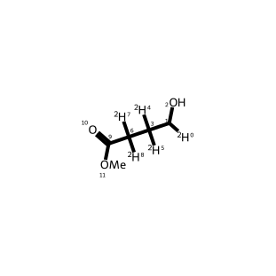 [2H]C(O)C([2H])([2H])C([2H])([2H])C(=O)OC